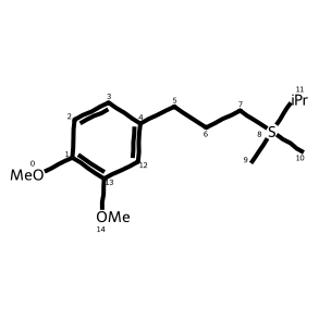 COc1ccc(CCCS(C)(C)C(C)C)cc1OC